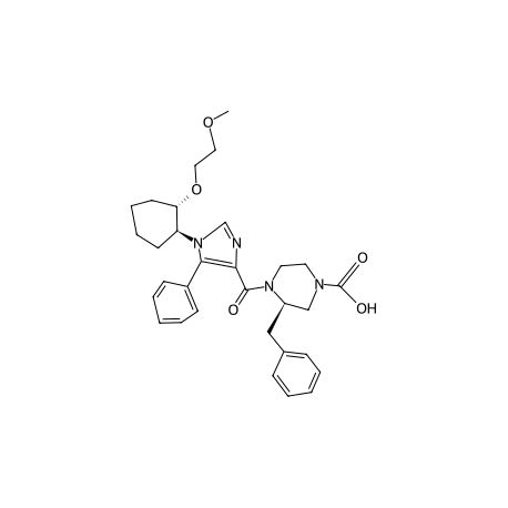 COCCO[C@H]1CCCC[C@@H]1n1cnc(C(=O)N2CCN(C(=O)O)C[C@H]2Cc2ccccc2)c1-c1ccccc1